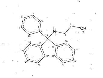 OCCNC(c1ccccc1)(c1ccccc1)c1ccccc1